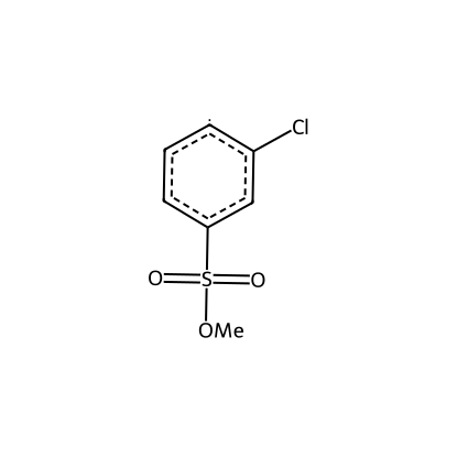 COS(=O)(=O)c1cc[c]c(Cl)c1